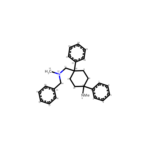 CNC1(c2ccccc2)CCC(CN(C)Cc2ccccc2)(c2ccccc2)CC1